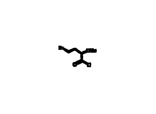 COC(CCBr)C(=O)Cl